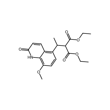 CCOC(=O)C(C(=O)OCC)C(C)c1ccc(OC)c2[nH]c(=O)ccc12